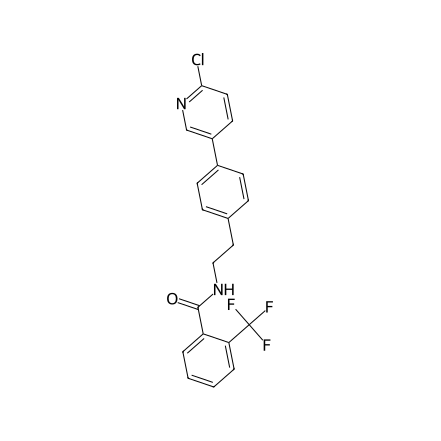 O=C(NCCc1ccc(-c2ccc(Cl)nc2)cc1)c1ccccc1C(F)(F)F